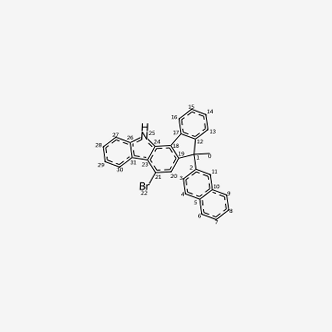 CC1(c2ccc3ccccc3c2)c2ccccc2-c2c1cc(Br)c1c2[nH]c2ccccc21